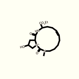 CCOC(=O)C1CCC=CCCCCN(C)C(=O)[N+]2CC(O)CC2C(=O)N1